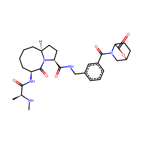 CN[C@@H](C)C(=O)N[C@H]1CCCC[C@H]2CC[C@@H](C(=O)NCc3cccc(C(=O)N4CC5CCC4C(=O)O5)c3)N2C1=O